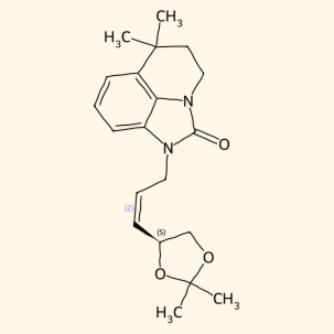 CC1(C)OC[C@H](/C=C\Cn2c(=O)n3c4c(cccc42)C(C)(C)CC3)O1